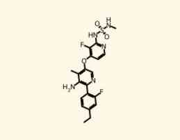 CCc1ccc(-c2ncc(Oc3ccnc(NS(=O)(=O)NC)c3F)c(C)c2N)c(F)c1